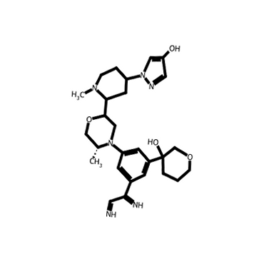 C[C@@H]1COC(C2CC(n3cc(O)cn3)CCN2C)CN1c1cc(C(=N)C=N)cc(C2(O)CCCOC2)c1